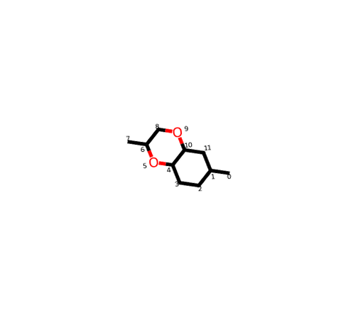 CC1CCC2OC(C)COC2C1